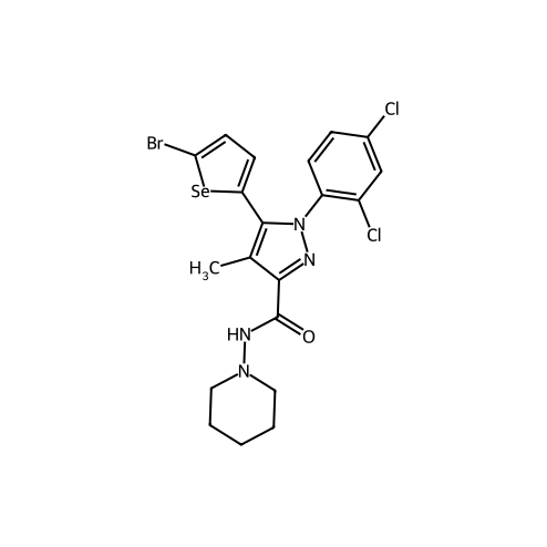 Cc1c(C(=O)NN2CCCCC2)nn(-c2ccc(Cl)cc2Cl)c1-c1ccc(Br)[se]1